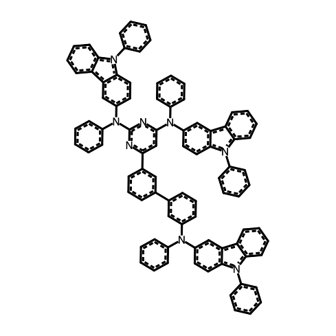 c1ccc(N(c2cccc(-c3cccc(-c4cc(N(c5ccccc5)c5ccc6c(c5)c5ccccc5n6-c5ccccc5)nc(N(c5ccccc5)c5ccc6c(c5)c5ccccc5n6-c5ccccc5)n4)c3)c2)c2ccc3c(c2)c2ccccc2n3-c2ccccc2)cc1